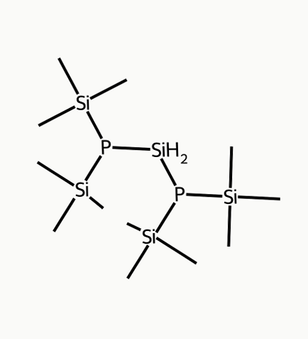 C[Si](C)(C)P([SiH2]P([Si](C)(C)C)[Si](C)(C)C)[Si](C)(C)C